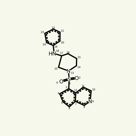 O=S(=O)(c1cccc2cnccc12)N1CCCC(Nc2ccccc2)C1